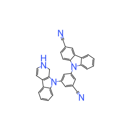 N#Cc1cc(-n2c3c(c4ccccc42)C=CNC3)cc(-n2c3ccccc3c3cc(C#N)ccc32)c1